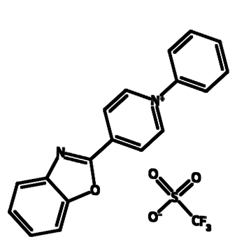 O=S(=O)([O-])C(F)(F)F.c1ccc(-[n+]2ccc(-c3nc4ccccc4o3)cc2)cc1